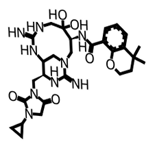 CC1(C)CCOc2c(C(=O)N[C@H]3CN4CC(NC(=N)NCC3(O)O)[C@H](CN3C(=O)CN(C5CC5)C3=O)NC4=N)cccc21